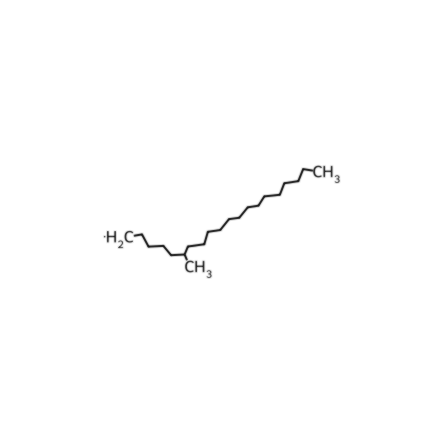 [CH2]CCCCC(C)CCCCCCCCCCCCCC